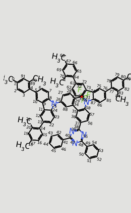 Cc1ccc(-c2ccc3c(c2)c2cc(-c4ccc(C)cc4C)ccc2n3-c2ccc(C(F)(F)F)c(-c3cc(-c4nc(-c5ccccc5)nc(-c5ccccc5)n4)ccc3-n3c4ccc(-c5ccc(C)cc5C)cc4c4cc(-c5ccc(C)cc5C)ccc43)c2)c(C)c1